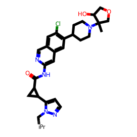 CC(C)Cn1nccc1C1CC1C(=O)Nc1cc2cc(C3CCN(C4(C)COCC4O)CC3)c(Cl)cc2cn1